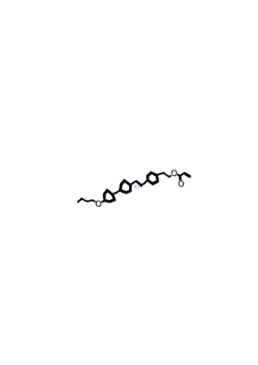 C=CC(=O)OCCc1ccc(/C=C/c2ccc(-c3ccc(OCCCC)cc3)cc2)cc1